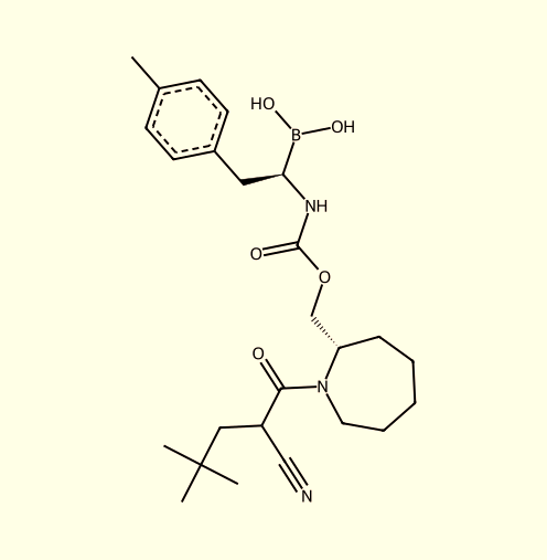 Cc1ccc(C[C@H](NC(=O)OC[C@@H]2CCCCCN2C(=O)C(C#N)CC(C)(C)C)B(O)O)cc1